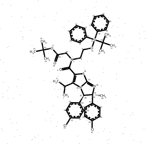 CC(C)C1=C(C(=O)N(CCO[Si](c2ccccc2)(c2ccccc2)C(C)(C)C)CC(=O)OC(C)(C)C)SC2=N[C@@](C)(c3ccc(Cl)cc3)[C@@H](c3ccc(Cl)cc3)N21